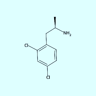 C[C@@H](N)Cc1ccc(Cl)cc1Cl